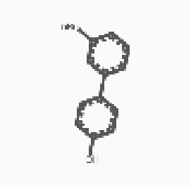 CCCCc1cccc(-c2ccc(O)cc2)c1